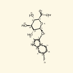 O=C(O)[C@H]1O[C@@H](Oc2c[nH]c3cc(F)ccc23)[C@H](O)[C@@H](O)[C@@H]1O